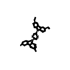 C=Cc1ccc2c(c1)c1cc(C=C)ccc1n2-c1cnc(-n2c3ccc(C)cc3c3cc(C)ccc32)cn1